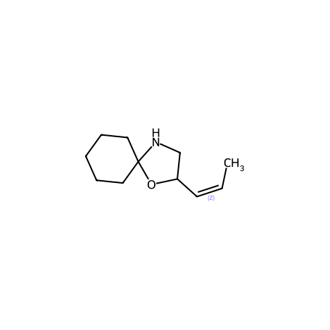 C/C=C\C1CNC2(CCCCC2)O1